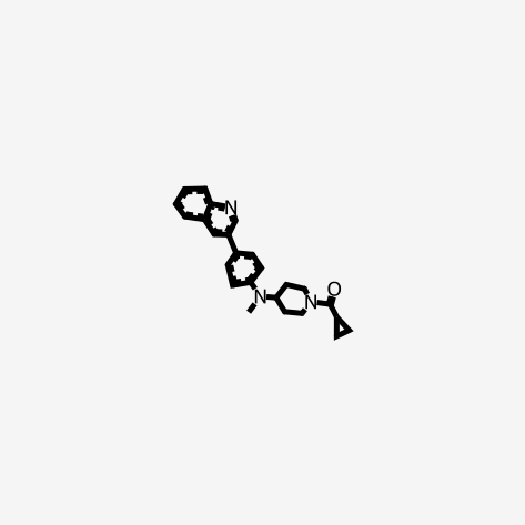 CN(c1ccc(-c2cnc3ccccc3c2)cc1)C1CCN(C(=O)C2CC2)CC1